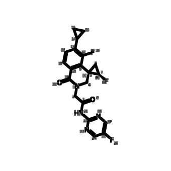 O=C(CN1C[C@]2(C[C@H]2F)c2c(ccc(C3CC3)c2F)C1=O)Nc1ncc(F)cn1